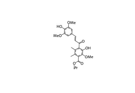 COc1cc(C=CC(=O)c2c(C)c(C)c(C(=O)OC(C)C)c(OC)c2O)cc(OC)c1O